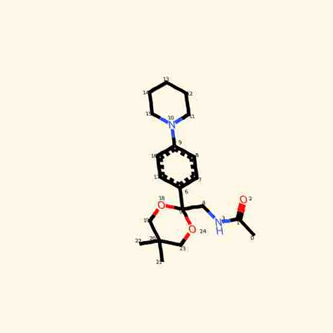 CC(=O)NCC1(c2ccc(N3CCCCC3)cc2)OCC(C)(C)CO1